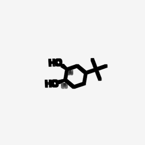 CC(C)(C)C1CC[C@@H](O)[C@@H](O)C1